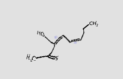 CC/C=C\C=C(\O)C(C)=S